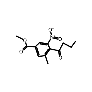 CCCC(=O)c1c(C)cc(C(=O)OC)cc1[N+](=O)[O-]